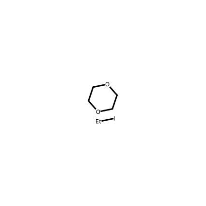 C1COCCO1.CCI